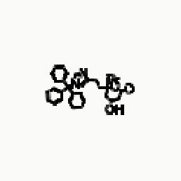 CC(C)C1(CCc2cn(C(c3ccccc3)(c3ccccc3)c3ccccc3)cn2)CC(O)=CC(=O)O1